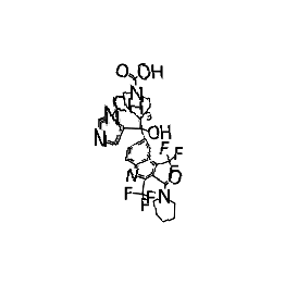 Cn1cncc1C(O)(c1ccc2nc(C(F)(F)F)c(C(=O)N3CCCCC3)c(C(F)(F)F)c2c1)C1CCN(C(=O)O)CC1